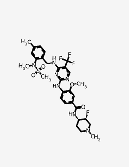 COc1cc(C(=O)N[C@@H]2CCN(C)C[C@@H]2F)ccc1Nc1ncc(C(F)(F)F)c(NCc2ccc(C)cc2N(C)S(C)(=O)=O)n1